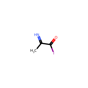 CC(=N)C(=O)I